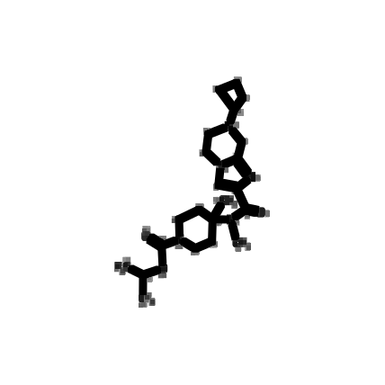 CN(C(=O)c1cn2c(n1)CN(C1CCC1)CC2)C1(C)CCN(C(=O)OC(C(F)(F)F)C(F)(F)F)CC1